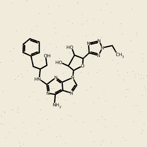 CCn1nnc(C2OC(n3cnc4c(N)nc(NC(CO)Cc5ccccc5)nc43)C(O)C2O)n1